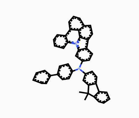 CC1(C)c2ccccc2-c2ccc(N(c3ccc(-c4ccccc4)cc3)c3ccc4c5ccc6cccc7c8ccccc8n(c4c3)c5c67)cc21